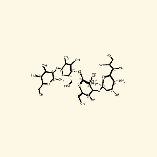 CC1C(O)[C@H](O[C@@H]2OC(CO)[C@H](O)C(O[C@]3(C(=O)O)C[C@@H](O)[C@@H](N)C([C@H](O)C(O)CO)O3)[C@@H]2O)[C@H](CO)O[C@H]1O[C@@H]1C(O)[C@H](O)C(CO)O[C@@H]1C